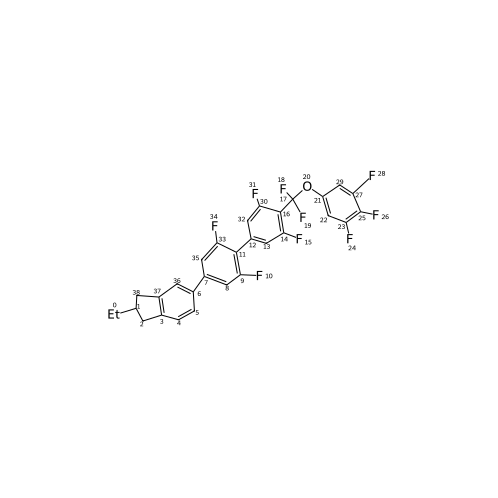 CCC1Cc2ccc(-c3cc(F)c(-c4cc(F)c(C(F)(F)Oc5cc(F)c(F)c(F)c5)c(F)c4)c(F)c3)cc2C1